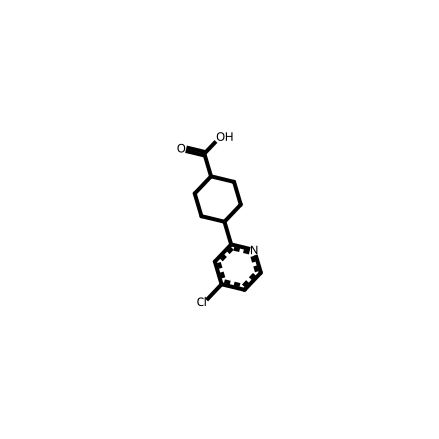 O=C(O)C1CCC(c2cc(Cl)ccn2)CC1